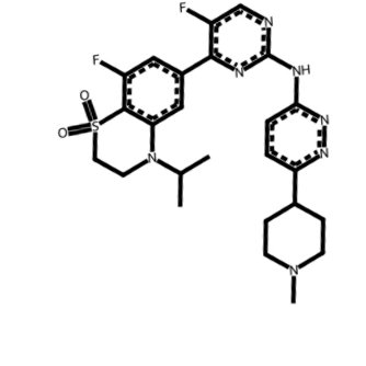 CC(C)N1CCS(=O)(=O)c2c(F)cc(-c3nc(Nc4ccc(C5CCN(C)CC5)nn4)ncc3F)cc21